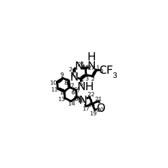 FC(F)(F)c1cc2c(N[C@H]3c4ccccc4CC[C@@H]3N3CC4(COC4)C3)ncnc2[nH]1